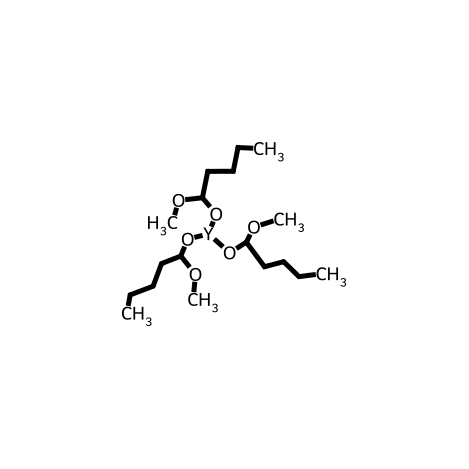 CCCCC(OC)[O][Y]([O]C(CCCC)OC)[O]C(CCCC)OC